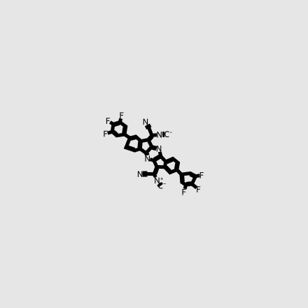 [C-]#[N+]/C(C#N)=C1/c2cc(-c3cc(F)c(F)c(F)c3)ccc2-c2nc3c(nc21)-c1ccc(-c2cc(F)c(F)c(F)c2)cc1/C3=C(/C#N)[N+]#[C-]